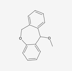 COC1c2ccccc2COc2ccccc21